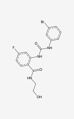 O=C(Nc1cccc(Br)c1)Nc1cc(F)ccc1C(=O)NCCO